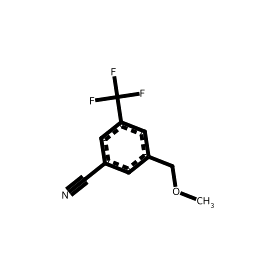 COCc1cc(C#N)cc(C(F)(F)F)c1